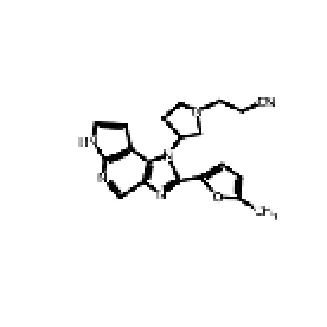 Cc1ccc(-c2nc3cnc4[nH]ccc4c3n2C2CCN(CCC#N)C2)o1